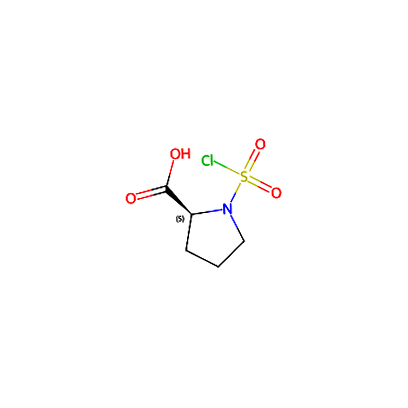 O=C(O)[C@@H]1CCCN1S(=O)(=O)Cl